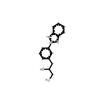 CCC(O)Cc1cccc(-n2nc3ccccc3n2)c1